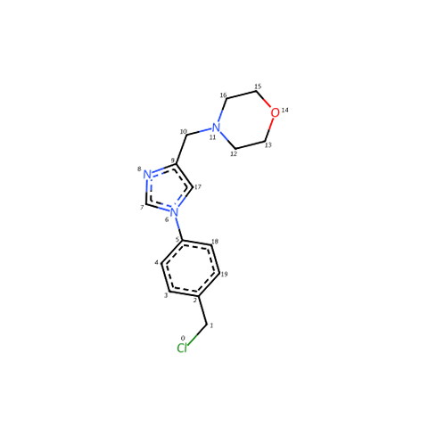 ClCc1ccc(-n2cnc(CN3CCOCC3)c2)cc1